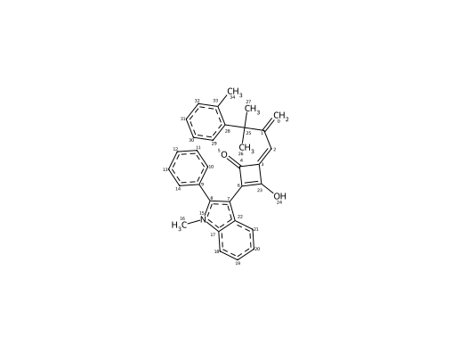 C=C(/C=C1\C(=O)C(c2c(-c3ccccc3)n(C)c3ccccc23)=C1O)C(C)(C)c1ccccc1C